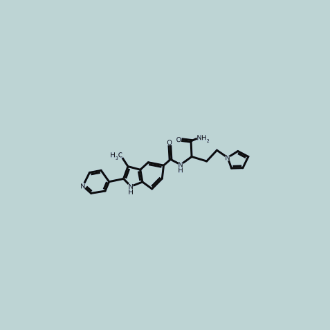 Cc1c(-c2ccncc2)[nH]c2ccc(C(=O)NC(CCn3cccc3)C(N)=O)cc12